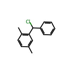 Cc1ccc(C)c(C(Cl)c2ccccc2)c1